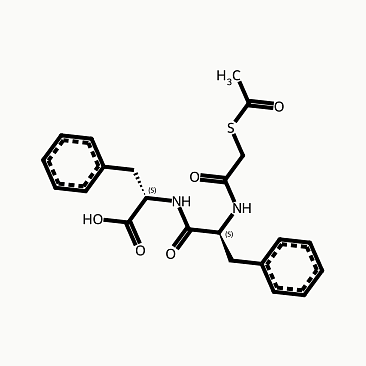 CC(=O)SCC(=O)N[C@@H](Cc1ccccc1)C(=O)N[C@@H](Cc1ccccc1)C(=O)O